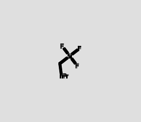 CCCC[Si](F)(F)F